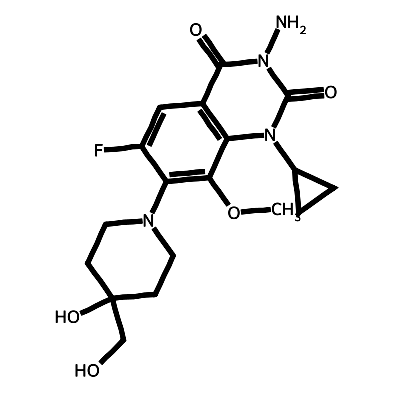 COc1c(N2CCC(O)(CO)CC2)c(F)cc2c(=O)n(N)c(=O)n(C3CC3)c12